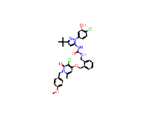 COc1ccc(Cn2c(C)cc(OCc3ccccc3CNC(=O)Nc3cc(C(C)(C)C)nn3-c3ccc(Cl)c(O)c3)c(Cl)c2=O)cc1